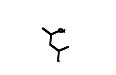 [CH2]C(C)CC(C)O